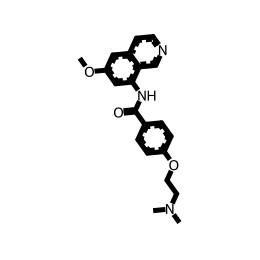 COc1cc(NC(=O)c2ccc(OCCN(C)C)cc2)c2cnccc2c1